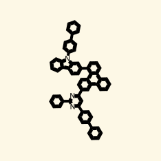 c1ccc(-c2ccc(-c3cc(-c4ccc5c(c4)c4ccccc4c4cccc(-c6ccc7c8ccccc8n(-c8ccc(-c9ccccc9)cc8)c7c6)c45)nc(-c4ccccc4)n3)cc2)cc1